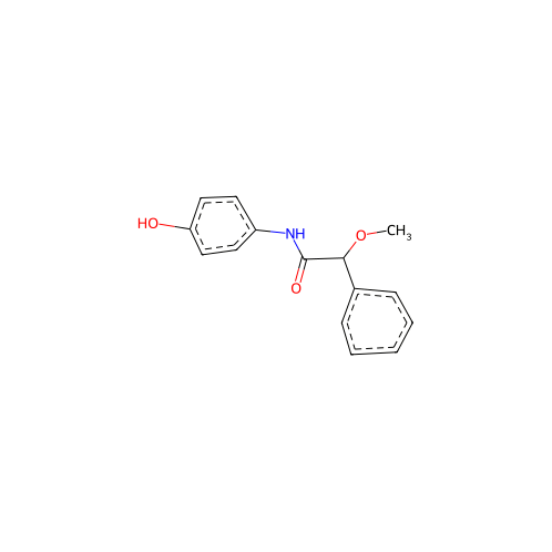 COC(C(=O)Nc1ccc(O)cc1)c1ccccc1